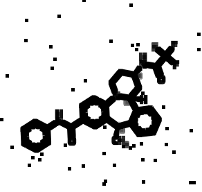 C[C@@H]1c2ccccc2[C@H]2C[C@H](NC(=O)C(F)(F)F)CCN2c2ccc(C(=O)Nc3ccccc3)cc21